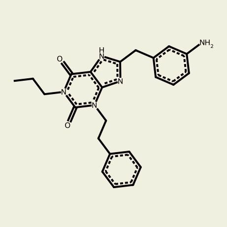 CCCn1c(=O)c2[nH]c(Cc3cccc(N)c3)nc2n(CCc2ccccc2)c1=O